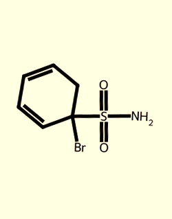 NS(=O)(=O)C1(Br)C=CC=CC1